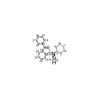 C[SiH](C)N(C1CCCCC1)C1C=C(c2ccccc2)c2ccccc21